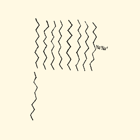 CCCCCCCCCC.CCCCCCCCCC.CCCCCCCCCC.CCCCCCCCCC.CCCCCCCCCC.CCCCCCCCCC.CCCCCCCCCC.CCCCCCCCCC.CCCCCCCCCC.[Na+].[Na+]